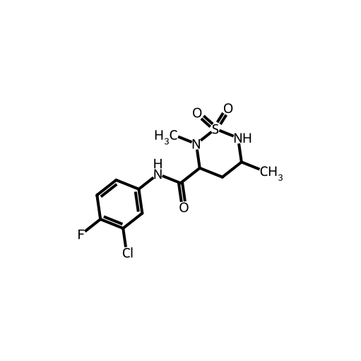 CC1CC(C(=O)Nc2ccc(F)c(Cl)c2)N(C)S(=O)(=O)N1